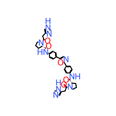 O=C(Nc1ccc(-c2cnc(-c3ccc(NC(=O)[C@@H]4CCCN4C(=O)Cc4cnc[nH]4)cc3)o2)cc1)[C@@H]1CCCN1C(=O)Cc1c[nH]cn1